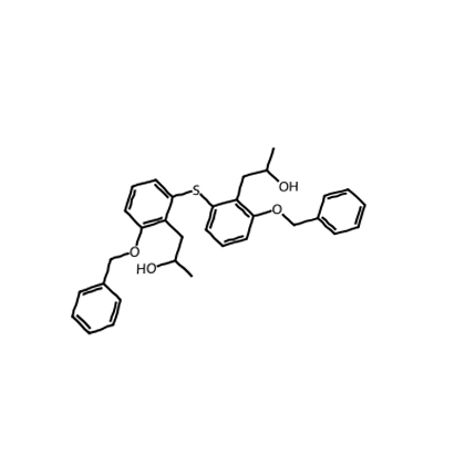 CC(O)Cc1c(OCc2ccccc2)cccc1Sc1cccc(OCc2ccccc2)c1CC(C)O